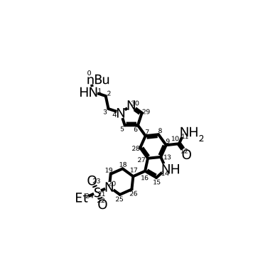 CCCCNCCn1cc(-c2cc(C(N)=O)c3[nH]cc(C4CCN(S(=O)(=O)CC)CC4)c3c2)cn1